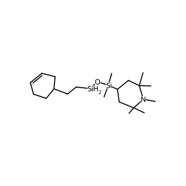 CN1C(C)(C)CC([Si](C)(C)O[SiH2]CCC2CC=CCC2)CC1(C)C